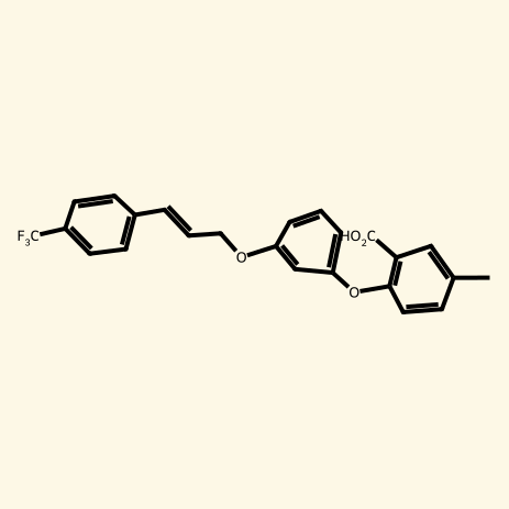 Cc1ccc(Oc2cccc(OCC=Cc3ccc(C(F)(F)F)cc3)c2)c(C(=O)O)c1